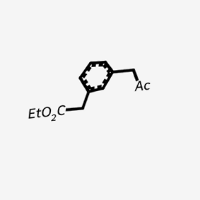 CCOC(=O)Cc1cccc(CC(C)=O)c1